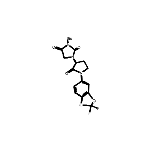 CC(C)(C)N1C(=O)CN(C2CCN(c3ccc4c(c3)OC(F)(F)O4)C2=O)C1=O